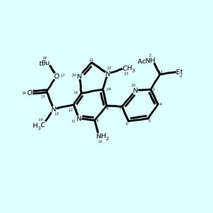 CCC(NC(C)=O)c1cccc(-c2c(N)nc(N(C)C(=O)OC(C)(C)C)c3ncn(C)c23)n1